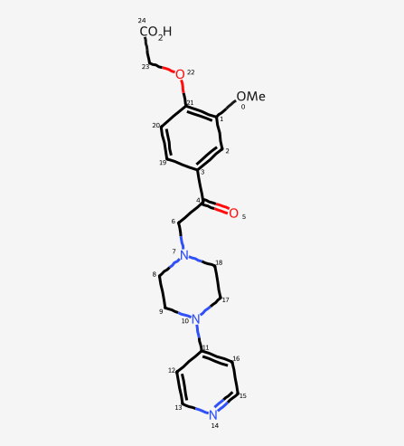 COc1cc(C(=O)CN2CCN(c3ccncc3)CC2)ccc1OCC(=O)O